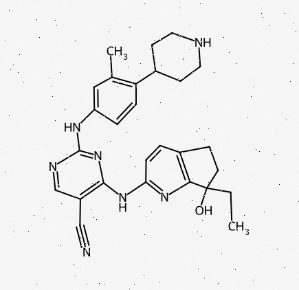 CCC1(O)CCc2ccc(Nc3nc(Nc4ccc(C5CCNCC5)c(C)c4)ncc3C#N)nc21